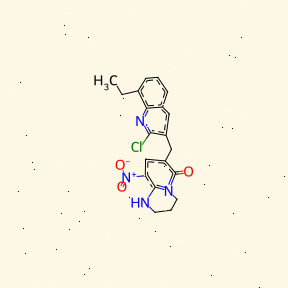 CCc1cccc2cc(Cc3cc([N+](=O)[O-])c4n(c3=O)CCCN4)c(Cl)nc12